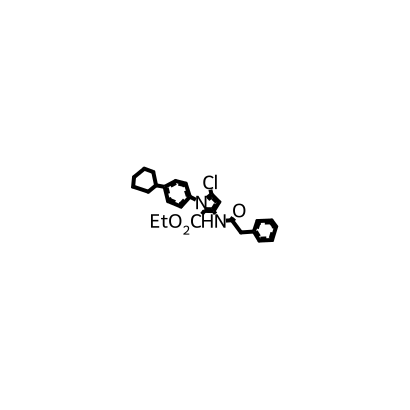 CCOC(=O)c1c(NC(=O)Cc2ccccc2)cc(Cl)n1-c1ccc(C2CCCCC2)cc1